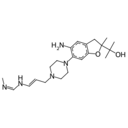 C/N=C\N/C=C/CN1CCN(c2cc3c(cc2N)CC(C)(C(C)(C)O)O3)CC1